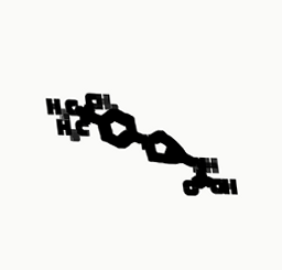 CC(C)(C)c1ccc(N2CC3C(C2)C3NC(=O)O)cc1